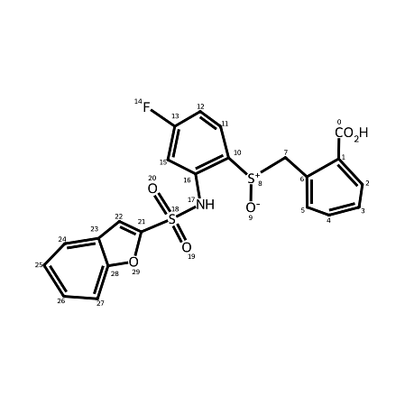 O=C(O)c1ccccc1C[S+]([O-])c1ccc(F)cc1NS(=O)(=O)c1cc2ccccc2o1